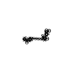 CC1(C)C(=O)N(c2ccc3c(c2)COC3=O)C(=S)N1CCCCCCCCN1CCN(C(=O)c2cccs2)CC1